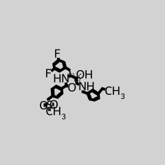 CCc1cccc(CNC[C@@H](O)[C@H](Cc2cc(F)cc(F)c2)NC(=O)c2ccc(CS(C)(=O)=O)cc2)c1